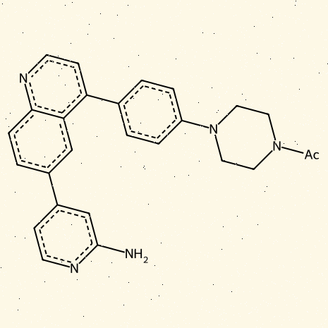 CC(=O)N1CCN(c2ccc(-c3ccnc4ccc(-c5ccnc(N)c5)cc34)cc2)CC1